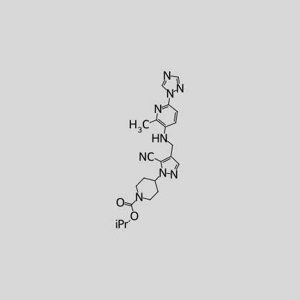 Cc1nc(-n2cncn2)ccc1NCc1cnn(C2CCN(C(=O)OC(C)C)CC2)c1C#N